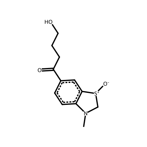 CN1C[S+]([O-])c2cc(C(=O)CCCO)ccc21